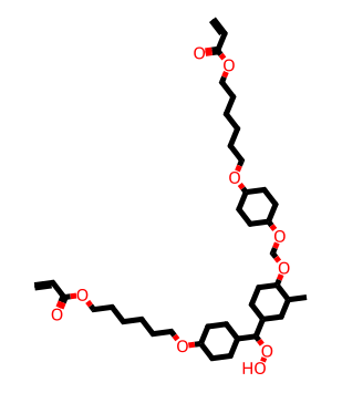 C=CC(=O)OCCCCCCOC1CCC(OCOC2CCC(C(OO)C3CCC(OCCCCCCOC(=O)C=C)CC3)CC2C)CC1